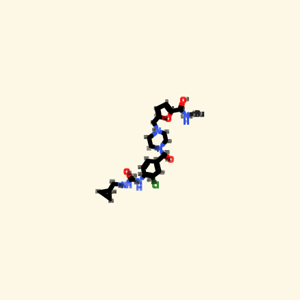 CC(C)(C)NC(=O)c1ccc(CN2CCN(C(=O)c3ccc(NC(=O)NCC4CC4)c(Cl)c3)CC2)o1